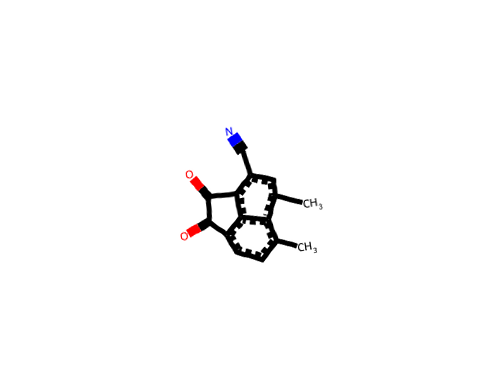 Cc1ccc2c3c(c(C#N)cc(C)c13)C(=O)C2=O